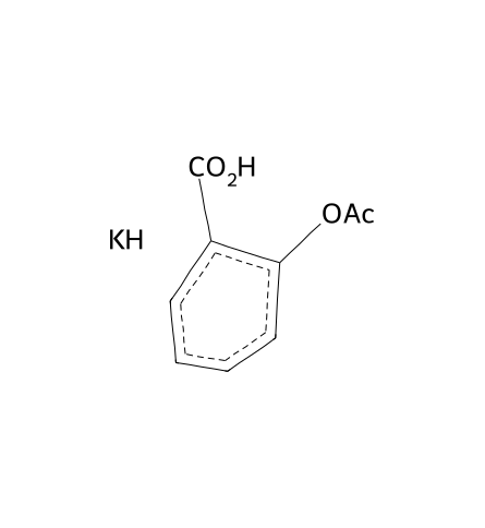 CC(=O)Oc1ccccc1C(=O)O.[KH]